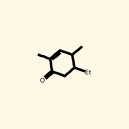 CCC1CC(=O)C(C)=CC1C